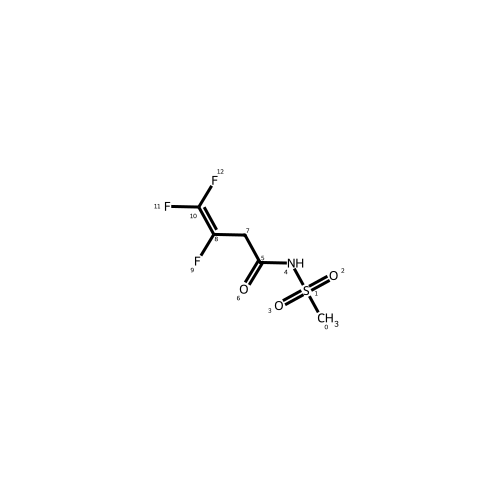 CS(=O)(=O)NC(=O)CC(F)=C(F)F